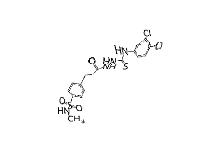 CNS(=O)(=O)c1ccc(CCC(=O)NNC(=S)Nc2ccc(Cl)c(Cl)c2)cc1